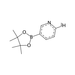 [2H]c1ccc(B2OC(C)(C)C(C)(C)O2)cn1